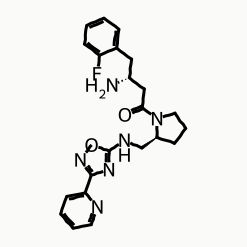 N[C@@H](CC(=O)N1CCC[C@H]1CNc1nc(-c2ccccn2)no1)Cc1ccccc1F